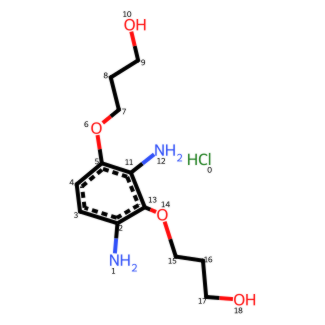 Cl.Nc1ccc(OCCCO)c(N)c1OCCCO